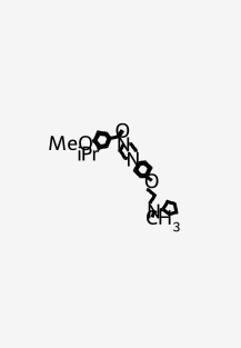 COc1ccc(C(=O)N2CCN(c3ccc(OCCCN(C)C4CCCC4)cc3)CC2)cc1C(C)C